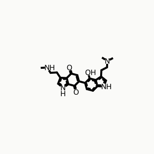 CNCCc1c[nH]c2c1C(=O)C=C(c1ccc3[nH]cc(CCN(C)C)c3c1O)C2=O